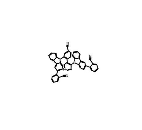 N#Cc1ccc(-c2cnccc2-n2c3ccccc3c3cc(-c4ccccc4C#N)ccc32)c(-n2c3ccccc3c3cc(-c4ccccc4C#N)ccc32)c1